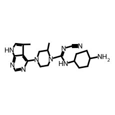 Cc1c[nH]c2ncnc(N3CCN(C(=NC#N)NC4CCC(N)CC4)C(C)C3)c12